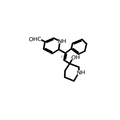 O=CC1=CNC(/C(=C/C2(O)CCCNC2)C2=CCCC=C2)C=C1